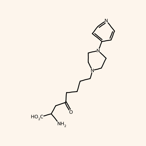 NC(CC(=O)CCCCN1CCN(c2ccncc2)CC1)C(=O)O